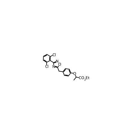 CCOC(=O)C(C)Oc1ccc(Cc2nc(-c3c(Cl)cccc3Cl)no2)cc1